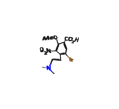 COc1c(C(=O)O)cc(Br)c(C=CN(C)C)c1[N+](=O)[O-]